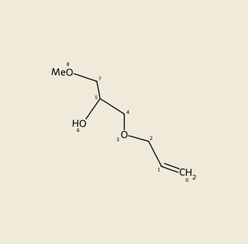 C=CCOCC(O)COC